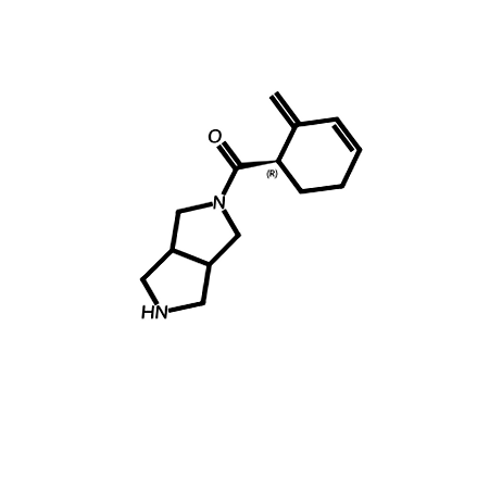 C=C1C=CCC[C@H]1C(=O)N1CC2CNCC2C1